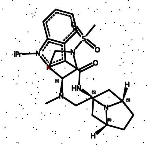 CC(C)n1nc(C(=O)N[C@@H]2C[C@H]3CC[C@@H](C2)N3CCN(C)[C@H]2CCN(S(C)(=O)=O)C2)c2ccccc21